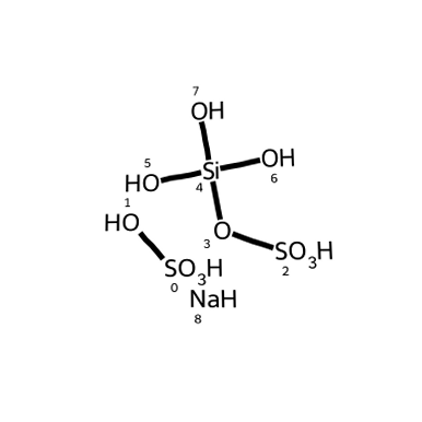 O=S(=O)(O)O.O=S(=O)(O)O[Si](O)(O)O.[NaH]